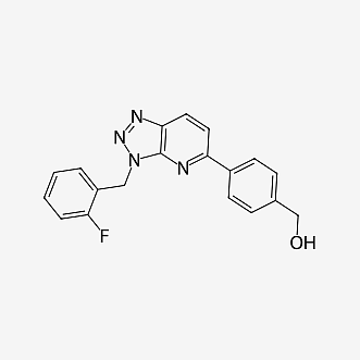 OCc1ccc(-c2ccc3nnn(Cc4ccccc4F)c3n2)cc1